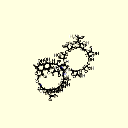 CO[C@H]1/C=C/O[C@@]2(C)Oc3c(C)c(O)c4c(O)c(c(NC(C)C(=O)NCC5NC(=O)C(C(=O)O)NC(=O)C(O)CNC(=O)C(C(C)O)NC(=O)C(C(O)C(O)C(N)=O)NC(=O)C(C(C)C)CC(=O)C(CO)NC5=O)c(O)c4c3C2=O)NC(=O)/C(C)=C\C=C\[C@H](C)[C@H](O)[C@@H](C)[C@@H](O)[C@@H](C)[C@H](OC(C)=O)[C@@H]1C